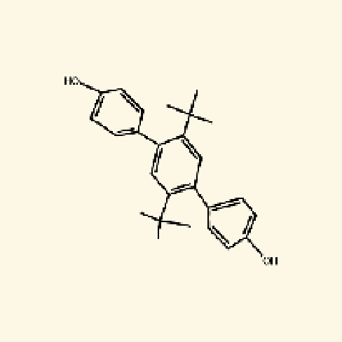 CC(C)(C)c1cc(-c2ccc(O)cc2)c(C(C)(C)C)cc1-c1ccc(O)cc1